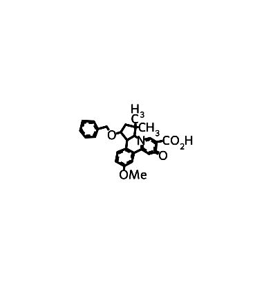 COc1ccc2c(c1)-c1cc(=O)c(C(=O)O)cn1C1C2C(OCc2ccccc2)CC1(C)C